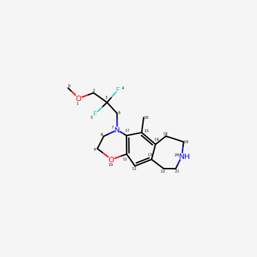 COCC(F)(F)CN1CCOc2cc3c(c(C)c21)CCNCC3